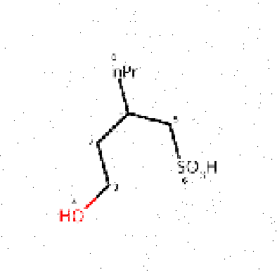 CCCC(CCO)CS(=O)(=O)O